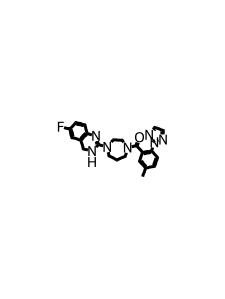 Cc1ccc(-n2nccn2)c(C(=O)N2CCCN(C3=Nc4ccc(F)cc4CN3)CC2)c1